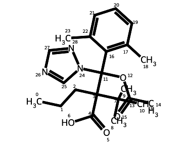 CCCC(C(=O)O)(C(C)(C)C)C(OC(C)=O)(c1c(C)cccc1C)n1cncn1